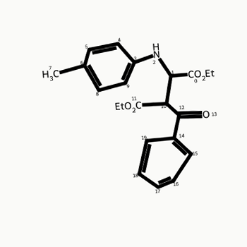 CCOC(=O)C(Nc1ccc(C)cc1)C(C(=O)OCC)C(=O)c1ccccc1